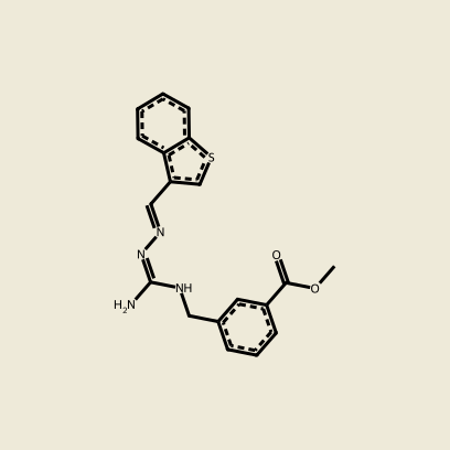 COC(=O)c1cccc(CNC(N)=NN=Cc2csc3ccccc23)c1